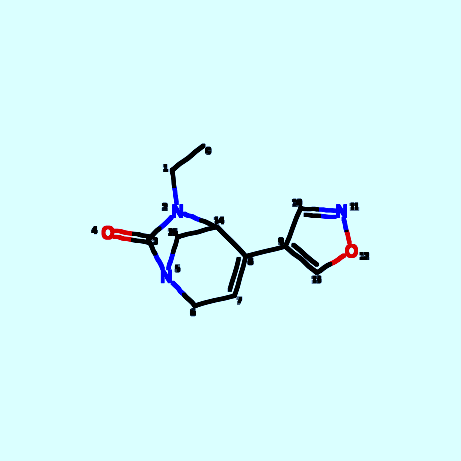 CCN1C(=O)N2CC=C(c3cnoc3)C1C2